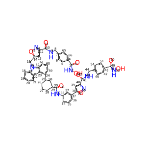 O=C(NO)c1ccc(CNC(=O)c2cc(Cn3c4ccccc4c4c(C5CCCC(C(=O)Nc6cccc(-c7cc(C(=O)NCc8ccc(C(=O)NO)cc8)no7)c6)C5)cccc43)on2)cc1